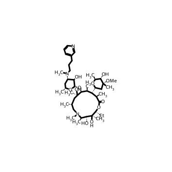 CC[C@H]1OC(=O)[C@H](C)[C@@H](C2C[C@@](C)(OC)[C@@H](O)[C@H](C)O2)[C@H](C)[C@@H](O[C@@H]2O[C@H](C)C[C@H](N(C)CCCc3cccnc3)[C@H]2O)[C@](C)(O)C[C@@H](C)CN(C)[C@H](C)[C@@H](O)[C@]1(C)O